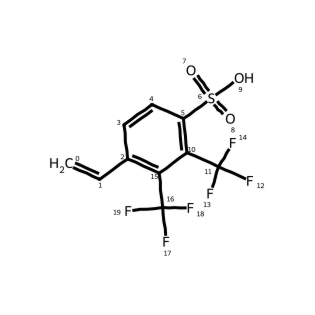 C=Cc1ccc(S(=O)(=O)O)c(C(F)(F)F)c1C(F)(F)F